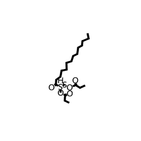 CCCCCCCCCCCCCC(=O)[SH](OC(=O)CC)SOC(=O)CC